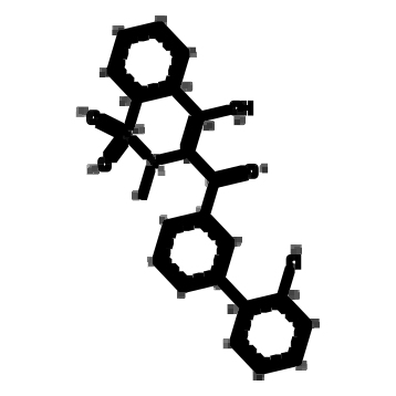 CN1C(C(=O)c2cccc(-c3ccccc3Cl)c2)=C(O)c2ccccc2S1(=O)=O